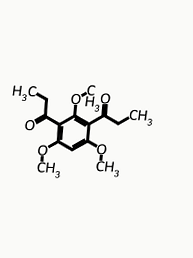 CCC(=O)c1c(OC)cc(OC)c(C(=O)CC)c1OC